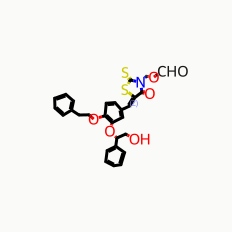 O=COCN1C(=O)/C(=C/c2ccc(OCCc3ccccc3)c(OC(CO)c3ccccc3)c2)SC1=S